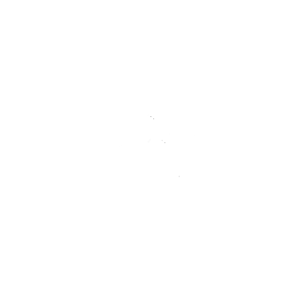 CCOC(=O)CC1C2CCCCC2CN1C(=O)c1nc(C)sc1-c1ccccc1